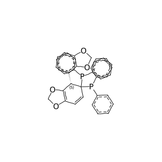 C1=CC(P(c2ccccc2)c2ccccc2)(P(c2ccccc2)c2ccccc2)[C@@H](c2cccc3c2OCO3)C2=C1OCO2